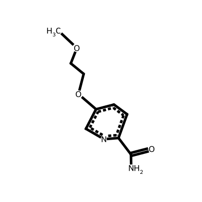 COCCOc1ccc(C(N)=O)nc1